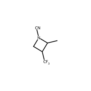 CC1C(C(F)(F)F)CN1C#N